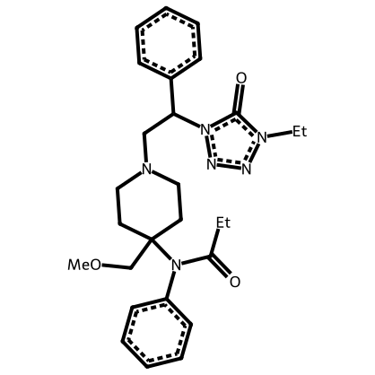 CCC(=O)N(c1ccccc1)C1(COC)CCN(CC(c2ccccc2)n2nnn(CC)c2=O)CC1